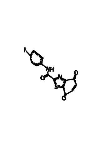 O=C(Nc1ccc(F)cc1)c1nc2c(s1)C(=O)C=CC2=O